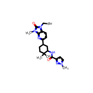 Cn1ccc(C(=O)NC2CC(c3ccc4c(n3)n(C)c(=O)n4CC(C)(C)C)CCC2(C)C)n1